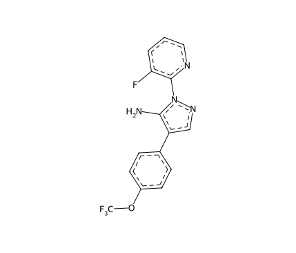 Nc1c(-c2ccc(OC(F)(F)F)cc2)cnn1-c1ncccc1F